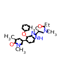 CCC(=O)N(C)/C=C(\C)c1nc2c(Oc3ccccc3)c(-c3cc(C)c(=O)n(C)c3)ccc2[nH]1